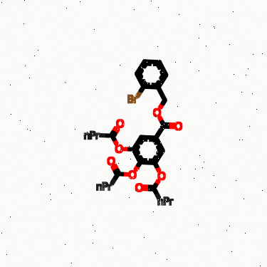 CCCC(=O)Oc1cc(C(=O)OCc2ccccc2Br)cc(OC(=O)CCC)c1OC(=O)CCC